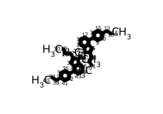 CCCCC1=Cc2c(-c3ccc(CCC)cc3)cccc2C1[Si](C)(C)C1C(CCCC)=Cc2c(-c3ccc(CCC)cc3)cccc21